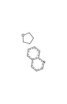 C1CCOC1.c1ccc2ncccc2c1